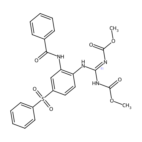 COC(=O)/N=C(/NC(=O)OC)Nc1ccc(S(=O)(=O)c2ccccc2)cc1NC(=O)c1ccccc1